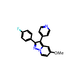 COc1ccn2nc(-c3ccc(F)cc3)c(-c3ccncc3)c2c1